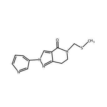 CSCN1CCc2nn(-c3cccnc3)cc2C1=O